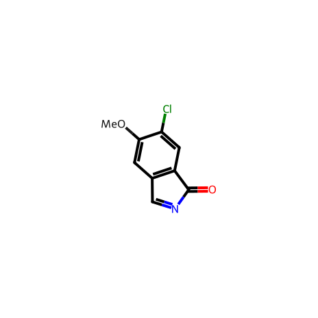 COc1cc2c(cc1Cl)C(=O)N=C2